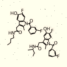 CCC(C)NC(=O)Cc1c(C)n(C(=O)c2cccc(F)c2)c2cc(F)c(O)cc12.CCCCNC(=O)Cc1c(C)n(C(=O)c2cccc(F)c2)c2cc(F)c(O)cc12